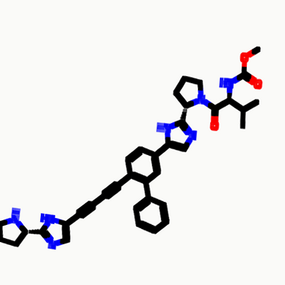 COC(=O)N[C@H](C(=O)N1CCC[C@H]1c1ncc(-c2ccc(C#CC#Cc3cnc([C@@H]4CCCN4)[nH]3)c(-c3ccccc3)c2)[nH]1)C(C)C